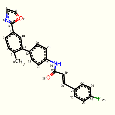 Cc1ccc(-c2ncco2)cc1-c1ccc(NC(=O)/C=C/c2ccc(F)cc2)cc1